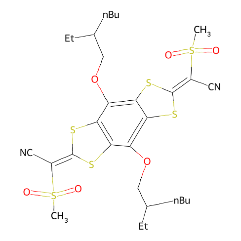 CCCCC(CC)COc1c2c(c(OCC(CC)CCCC)c3c1SC(=C(C#N)S(C)(=O)=O)S3)SC(=C(C#N)S(C)(=O)=O)S2